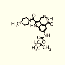 CN1CCN(C(=O)c2[nH]c3cc(NC(=O)OC(C)(C)C)cc4c3c2C=NNC4=O)CC1